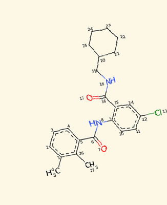 Cc1cccc(C(=O)Nc2ccc(Cl)cc2C(=O)NCC2CCCCC2)c1C